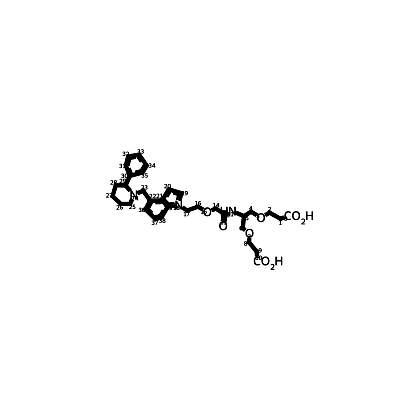 O=C(O)CCOCC(COCCC(=O)O)NC(=O)COCCn1ccc2c(CN3CCCCC3c3ccccc3)cccc21